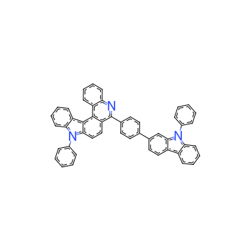 c1ccc(-n2c3ccccc3c3ccc(-c4ccc(-c5nc6ccccc6c6c5ccc5c6c6ccccc6n5-c5ccccc5)cc4)cc32)cc1